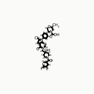 C[C@H]1CN(C(=O)O)[C@H](c2ccc(-n3c(Cl)cc4c(=O)n(CC5(O)CCN(C(=O)c6ccc(F)c(F)c6)CC5)cnc43)cc2)CO1